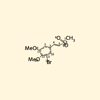 COc1cc(C=CS(C)(=O)=O)cc(Br)c1OC